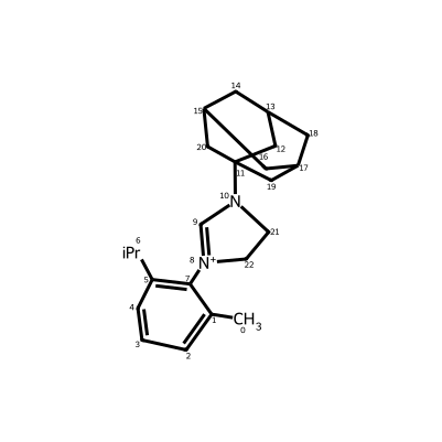 Cc1cccc(C(C)C)c1[N+]1=CN(C23CC4CC(CC(C4)C2)C3)CC1